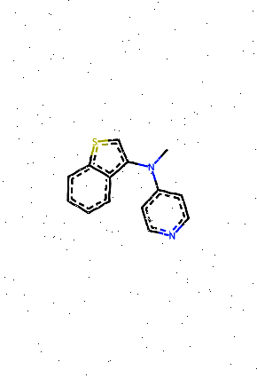 CN(c1ccncc1)c1csc2ccccc12